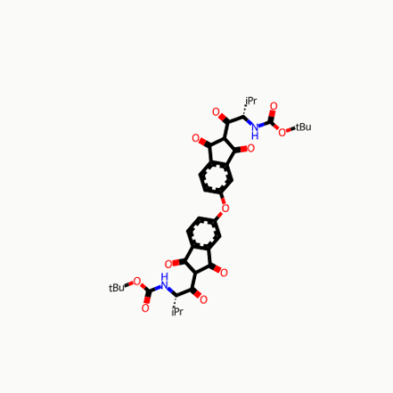 CC(C)[C@H](NC(=O)OC(C)(C)C)C(=O)C1C(=O)c2ccc(Oc3ccc4c(c3)C(=O)C(C(=O)[C@@H](NC(=O)OC(C)(C)C)C(C)C)C4=O)cc2C1=O